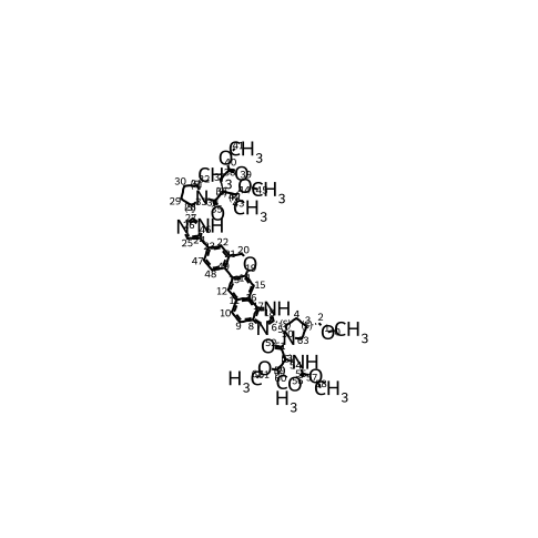 COC[C@H]1C[C@@H](c2nc3ccc4cc5c(cc4c3[nH]2)OCc2cc(-c3cnc([C@@H]4CC[C@H](C)N4C(=O)[C@@H](CC(=O)OC)[C@@H](C)OC)[nH]3)ccc2-5)N(C(=O)[C@@H](NC(=O)OC)[C@@H](C)OC)C1